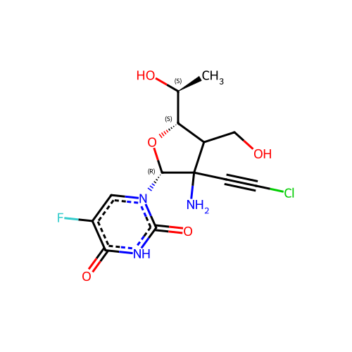 C[C@H](O)[C@H]1O[C@@H](n2cc(F)c(=O)[nH]c2=O)C(N)(C#CCl)C1CO